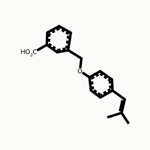 CC(C)=Cc1ccc(OCc2cccc(C(=O)O)c2)cc1